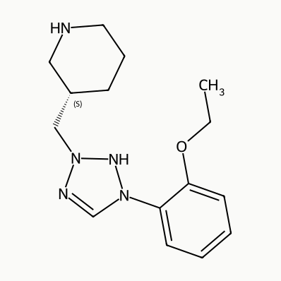 CCOc1ccccc1N1C=NN(C[C@H]2CCCNC2)N1